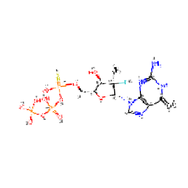 C=C1NC(N)=Nc2c1ncn2[C@@H]1O[C@H](CO[P@@](O)(=S)OP(=O)(O)OP(=O)(O)O)[C@@H](O)[C@@]1(C)F